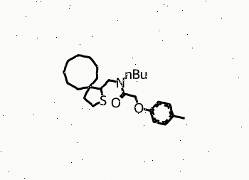 CCCCN(CC1SCCC12CCCCCCCC2)C(=O)COc1ccc(C)cc1